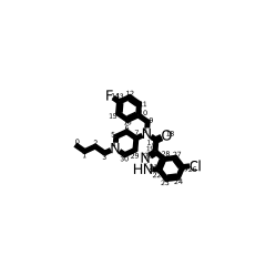 CCCCN1CCC(N(Cc2ccc(F)cc2)C(=O)c2n[nH]c3ccc(Cl)cc23)CC1